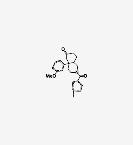 COc1cccc(C23CCN(C(=O)c4ccc(C)cc4)CC2CCC(=O)C3)c1